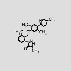 Cc1cc(-c2ccc(C(F)(F)F)cn2)c(C)cc1OCc1c(C)cccc1-n1nnn(C)c1=O